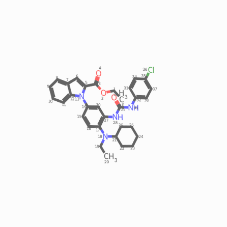 CCOC(=O)c1cc2ccccc2n1-c1ccc(N(CC)C2CCCCC2)c(NC(=O)Nc2ccc(Cl)cc2)c1